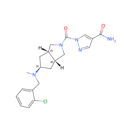 CN(Cc1ccccc1Cl)[C@H]1C[C@@H]2CN(C(=O)n3cc(C(N)=O)cn3)C[C@@H]2C1